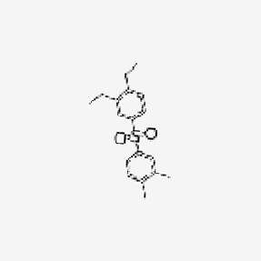 CCc1ccc(S(=O)(=O)c2ccc(C)c(C)c2)cc1CC